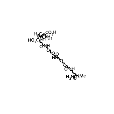 CNC(CCCCNC(=O)COCCOCCNC(=O)COCCOCCNC(=O)CCC(NC(=O)C(C)(C)CC(C)C(=O)O)C(=O)O)C(N)=O